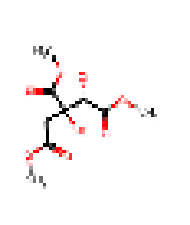 COC(=O)C[C@](O)(C(=O)OC)[C@H](O)C(=O)OC